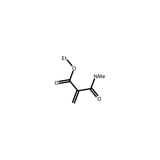 C=C(C(=O)NC)C(=O)OCC